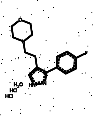 Cl.Cl.Fc1ccc(-c2n[nH]cc2CCN2CCOCC2)cc1.O